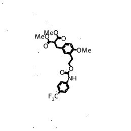 COC(=O)C(Cc1ccc(OC)c(CCOC(=O)Nc2ccc(C(F)(F)F)cc2)c1)C(=O)OC